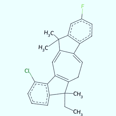 CCC1(C)C2=C(C=C3C(=CC2)c2ccc(F)cc2C3(C)C)c2c(Cl)cccc21